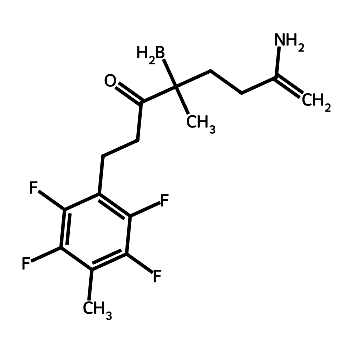 BC(C)(CCC(=C)N)C(=O)CCc1c(F)c(F)c(C)c(F)c1F